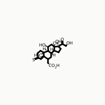 C[C@]12CCC(=S)C=C1C(CC(=O)O)C[C@@H]1[C@@H]2[C@@H](O)C[C@@]2(C)[C@H]1CC[C@]2(O)C(=O)CO